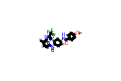 COc1ccc(C(=O)N[C@H]2CC[C@@H](N(C)c3ccc(C)c4nc(C(F)(F)F)cn34)CC2)cc1